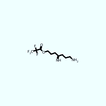 N=C(CCCN)CCCOC(=O)C(F)(F)C(F)(F)F